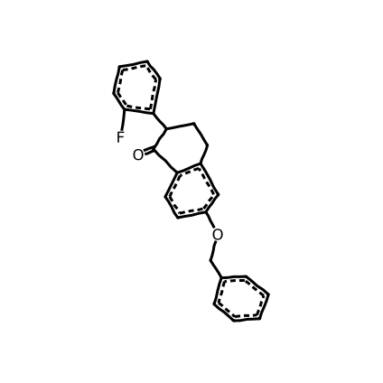 O=C1c2ccc(OCc3ccccc3)cc2CCC1c1ccccc1F